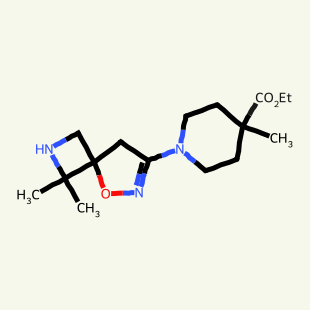 CCOC(=O)C1(C)CCN(C2=NOC3(CNC3(C)C)C2)CC1